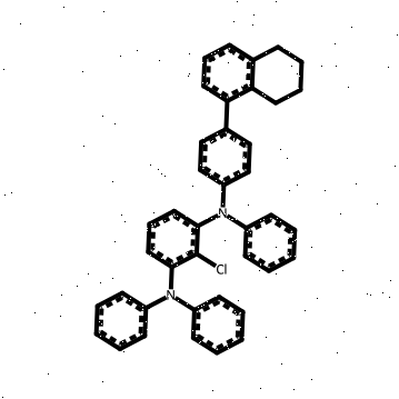 Clc1c(N(c2ccccc2)c2ccccc2)cccc1N(c1ccccc1)c1ccc(-c2cccc3c2CCCC3)cc1